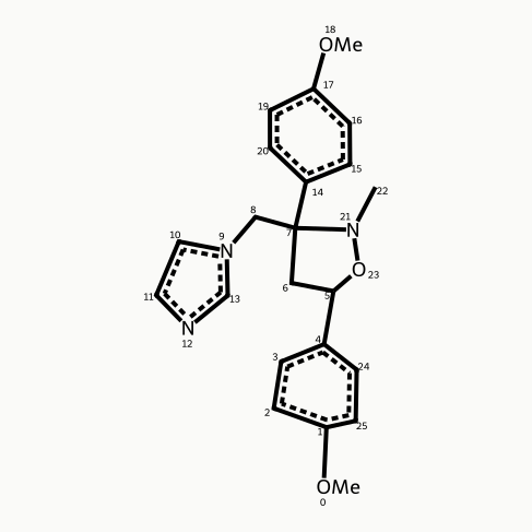 COc1ccc(C2CC(Cn3ccnc3)(c3ccc(OC)cc3)N(C)O2)cc1